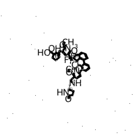 COc1nc(-c2cccc(-c3cccc4c3CC[C@@H]4Oc3nc(OC)c(CN4C5CCC4(C(O)O)CC5)cc3C(F)(F)F)c2Cl)ccc1CNC[C@@H]1CCC(=O)N1